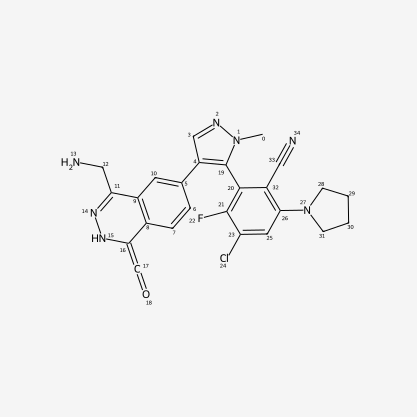 Cn1ncc(-c2ccc3c(c2)C(CN)=NNC3=C=O)c1-c1c(F)c(Cl)cc(N2CCCC2)c1C#N